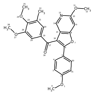 COc1ccc(-c2oc3cc(OC)ncc3c2C(=O)c2cc(C)c(OC)c(OC)c2)cc1